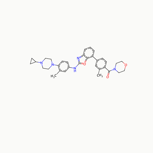 Cc1cc(-c2cccc3nc(Nc4ccc(N5CCN(C6CC6)CC5)c(C)c4)oc23)ccc1C(=O)N1CCOCC1